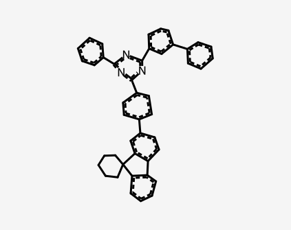 c1ccc(-c2cccc(-c3nc(-c4ccccc4)nc(-c4ccc(-c5ccc6c(c5)C5(CCCCC5)c5ccccc5-6)cc4)n3)c2)cc1